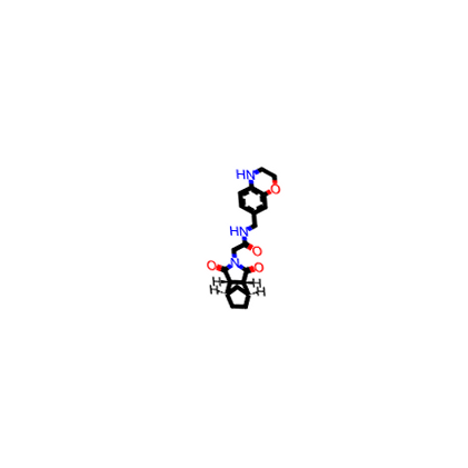 O=C(CN1C(=O)[C@@H]2[C@H]3CC[C@H](C3)[C@@H]2C1=O)NCc1ccc2c(c1)OCCN2